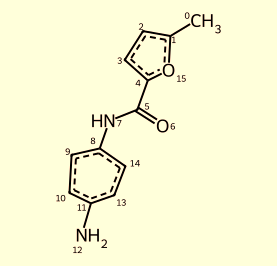 Cc1ccc(C(=O)Nc2ccc(N)cc2)o1